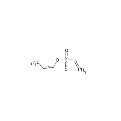 C=CS(=O)(=O)O/C=C\C